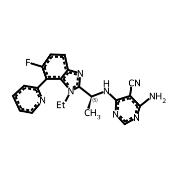 CCn1c([C@H](C)Nc2ncnc(N)c2C#N)nc2ccc(F)c(-c3ccccn3)c21